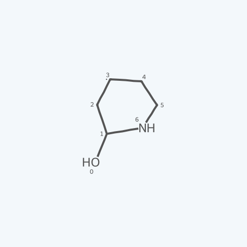 OC1C[CH]CCN1